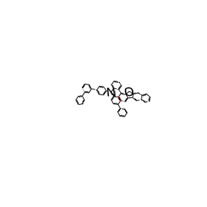 c1ccc(-c2ccc(N(c3ccc(-c4cccc(-c5ccccc5)c4)cc3)c3ccccc3-c3cccc4c3oc3cc5ccccc5cc34)cc2)cc1